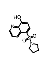 O=S(=O)(c1ccc(O)c2ncccc12)N1CCCC1